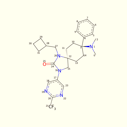 CN(C)[C@]1(c2ccccc2)CC[C@]2(CC1)CN(c1cnc(C(F)(F)F)nc1)C(=O)N2CC1CCC1